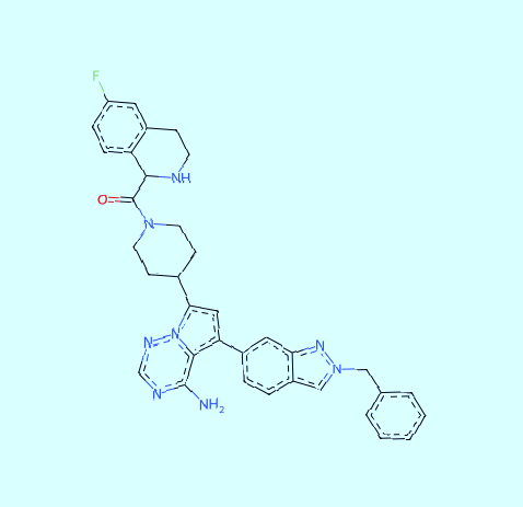 Nc1ncnn2c(C3CCN(C(=O)C4NCCc5cc(F)ccc54)CC3)cc(-c3ccc4cn(Cc5ccccc5)nc4c3)c12